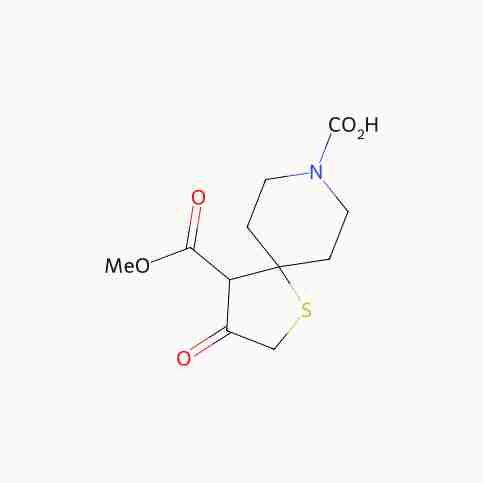 COC(=O)C1C(=O)CSC12CCN(C(=O)O)CC2